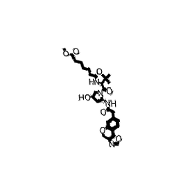 COC(=O)CCCCCC(=O)N[C@H](C(=O)N1C[C@H](O)C[C@H]1NC(=O)Cc1ccc2c(c1)OCc1ncoc1-2)C(C)(C)C